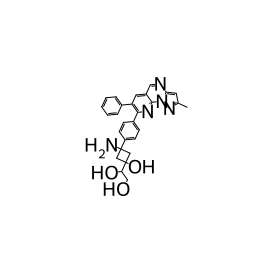 Cc1cc2ncc3cc(-c4ccccc4)c(-c4ccc(C5(N)CC(O)(C(O)CO)C5)cc4)nc3n2n1